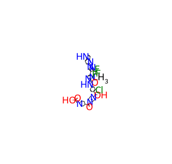 Cn1c(-c2cn(-c3ccc4[nH]ccc4n3)nc2C(F)(F)F)cnc1C(=O)Nc1ccc(C(O)N2CCN(C(=O)C3CCN(CC(=O)O)CC3)CC2)c(Cl)c1